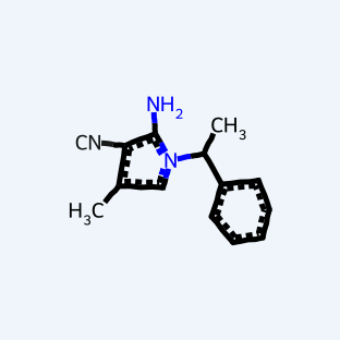 [C-]#[N+]c1c(C)cn(C(C)c2ccccc2)c1N